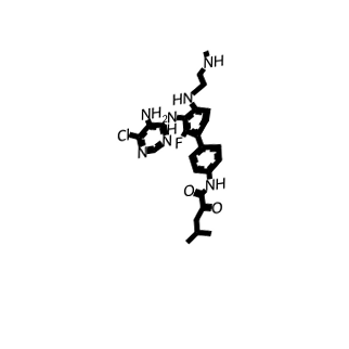 CNCCNc1ccc(-c2ccc(NC(=O)C(=O)CC(C)C)cc2)c(F)c1Nc1ncnc(Cl)c1N